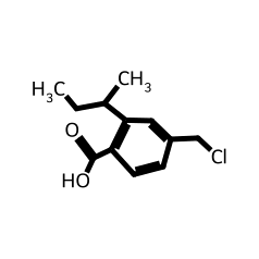 CCC(C)c1cc(CCl)ccc1C(=O)O